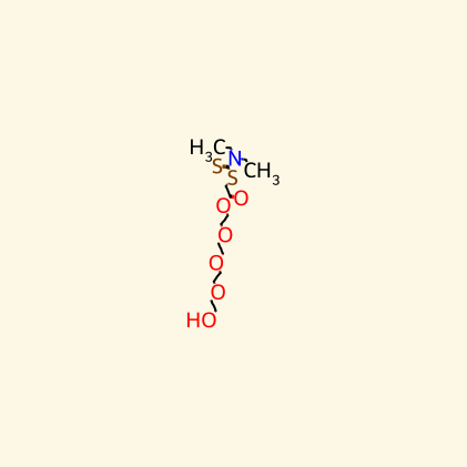 CCN(CC)C(=S)SCC(=O)OCCOCCOCCOCCO